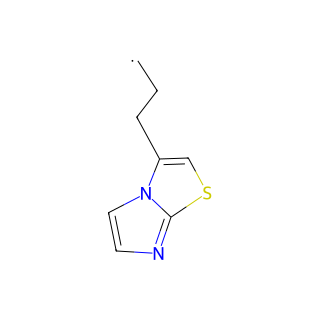 [CH2]CCc1csc2nccn12